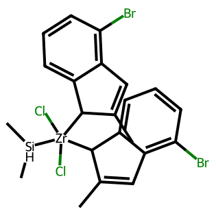 CC1=Cc2c(Br)cccc2[CH]1[Zr]([Cl])([Cl])([CH]1C(C)=Cc2c(Br)cccc21)[SiH](C)C